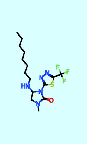 CCCCCCCCNC1CN(C)C(=O)N1c1nnc(C(F)(F)F)s1